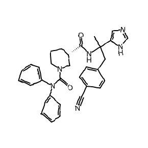 CC(Cc1ccc(C#N)cc1)(NC(=O)[C@H]1CCCN(C(=O)N(c2ccccc2)c2ccccc2)C1)c1cnc[nH]1